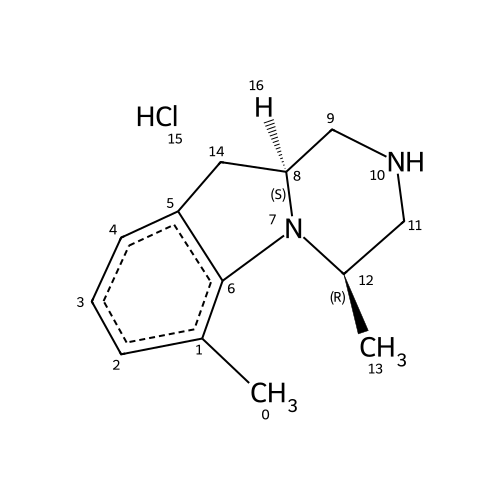 Cc1cccc2c1N1[C@H](CNC[C@H]1C)C2.Cl